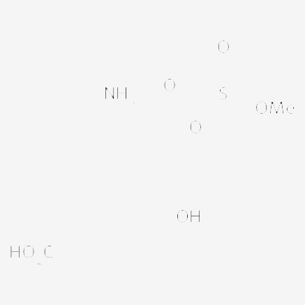 COS(=O)(=O)OCC(O)CCC(=O)O.N